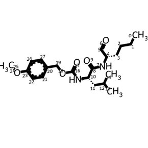 CCCC[C@@H](C=O)NC(=O)[C@H](CC(C)C)NC(=O)OCc1ccc(OC)cc1